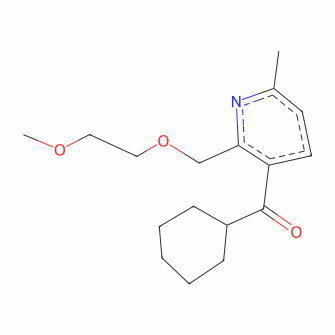 COCCOCc1nc(C)ccc1C(=O)C1CCCCC1